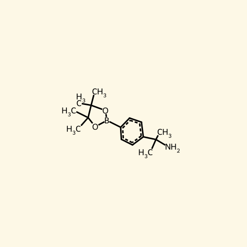 CC(C)(N)c1ccc(B2OC(C)(C)C(C)(C)O2)cc1